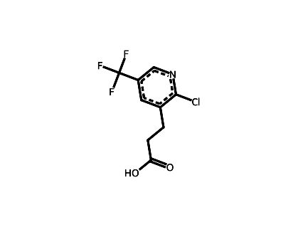 O=C(O)CCc1cc(C(F)(F)F)cnc1Cl